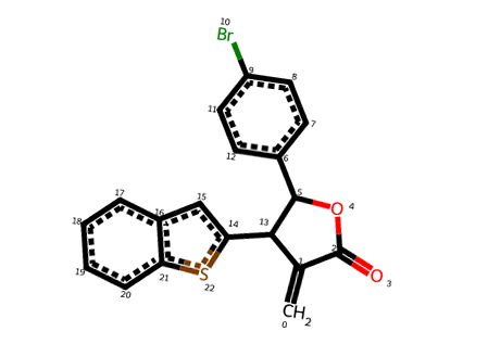 C=C1C(=O)OC(c2ccc(Br)cc2)C1c1cc2ccccc2s1